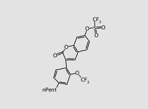 CCCCCc1ccc(-c2cc3ccc(OS(=O)(=O)C(F)(F)F)cc3oc2=O)c(OC(F)(F)F)c1